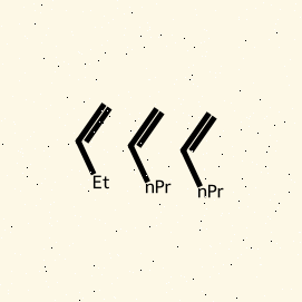 C=CCC.C=CCCC.C=CCCC